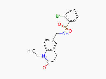 CCN1C(=O)CCc2cc(CNS(=O)(=O)c3ccccc3Br)ccc21